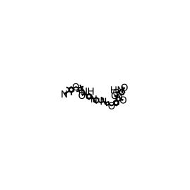 CCN(CC1CCN(c2ccc(C(=O)NC3C(C)(C)C(Oc4cc(C)c(C#N)c(C)c4)C3(C)C)cc2)CC1)C1CC(Oc2ccc3c(c2)C(=O)N([C@@H]2CCC(=O)NC2=O)C3=O)C1